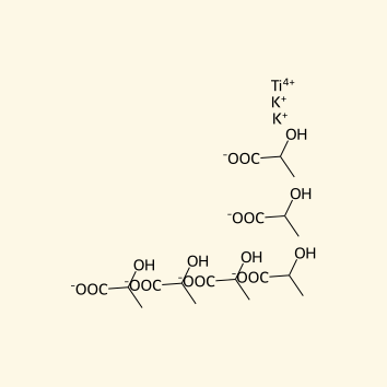 CC(O)C(=O)[O-].CC(O)C(=O)[O-].CC(O)C(=O)[O-].CC(O)C(=O)[O-].CC(O)C(=O)[O-].CC(O)C(=O)[O-].[K+].[K+].[Ti+4]